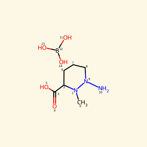 CN1C(C(=O)O)CCCN1N.OB(O)O